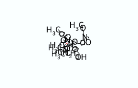 COCCCN1CCOc2ccc(CO[C@H]3CN(S(=O)(=O)c4ccc(C)cc4)CC(O[Si](C(C)C)(C(C)C)C(C)C)[C@H]3c3ccc(CO)cc3)cc21